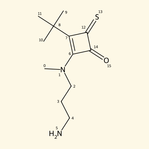 CN(CCCN)c1c(C(C)(C)C)c(=S)c1=O